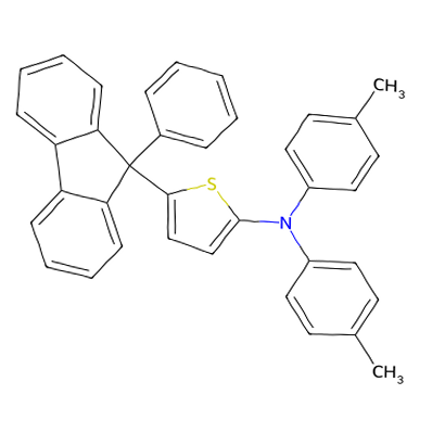 Cc1ccc(N(c2ccc(C)cc2)c2ccc(C3(c4ccccc4)c4ccccc4-c4ccccc43)s2)cc1